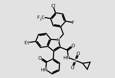 CCc1ccc2c(c1)c(-c1ccc[nH]c1=O)c(C(=O)NS(=O)(=O)C1CC1)n2Cc1cc(C(F)(F)F)c(Cl)cc1F